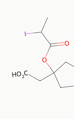 CC(I)C(=O)OC1(CC(=O)O)CCCC1